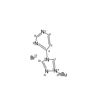 CCCC[n+]1cn(-c2ccncn2)cn1.[Br-]